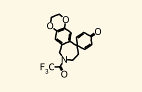 O=C1C=CC2(C=C1)CCN(C(=O)C(F)(F)F)Cc1cc3c(cc12)OCCO3